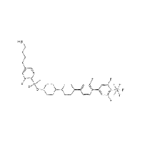 CCCCCc1ccc(C(F)(F)OC2CCC(C3CCC(c4ccc(-c5cc(F)c(S(F)(F)(F)(F)F)c(F)c5)c(F)c4)CC3)CC2)c(F)c1